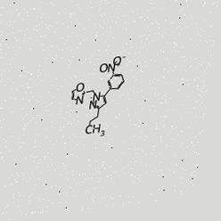 CCCc1cc(-c2cccc([N+](=O)[O-])c2)n(Cc2ncco2)n1